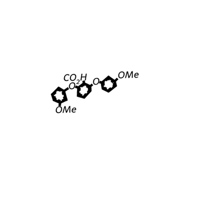 COc1cccc(Oc2cccc(Oc3cccc(OC)c3)c2C(=O)O)c1